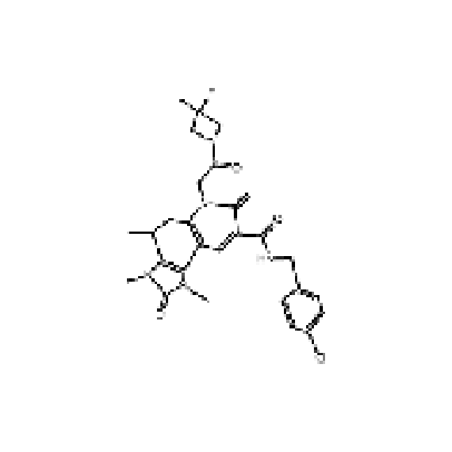 C=C1C(C(=O)NCc2ccc(Cl)cc2)=CC2=C(CC(C)c3c2n(C)c(=O)n3C)N1CC(=O)N1CC(C)(F)C1